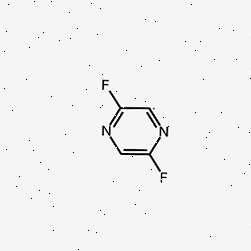 Fc1[c]nc(F)cn1